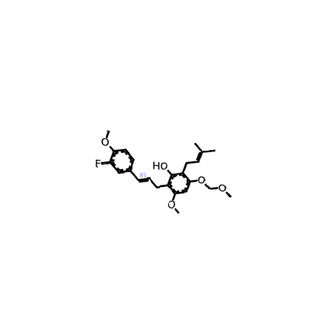 COCOc1cc(OC)c(C/C=C/c2ccc(OC)c(F)c2)c(O)c1CC=C(C)C